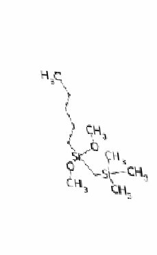 CCCCC[Si](C[Si](C)(C)C)(OC)OC